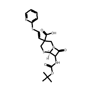 CC(C)(C)OC(=O)NC1C(=O)N2CC(C=CSc3ccccn3)(C(=O)O)CS[C@H]12